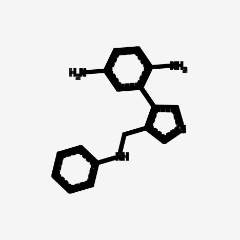 Nc1ccc(N)c(-c2cscc2CNc2ccccc2)c1